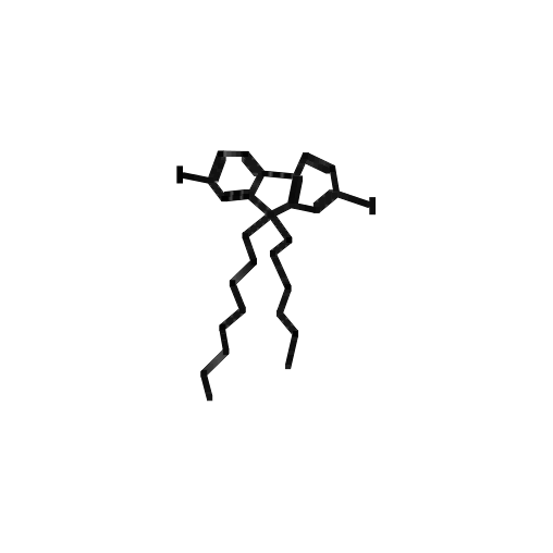 CCCCCCCCC1(CCCCCC)c2cc(I)ccc2-c2ccc(I)cc21